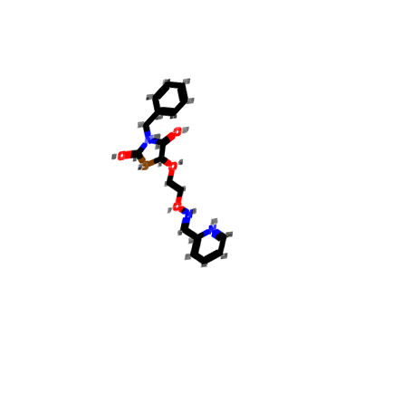 O=C1SC(OCCON=Cc2ccccn2)C(=O)N1Cc1ccccc1